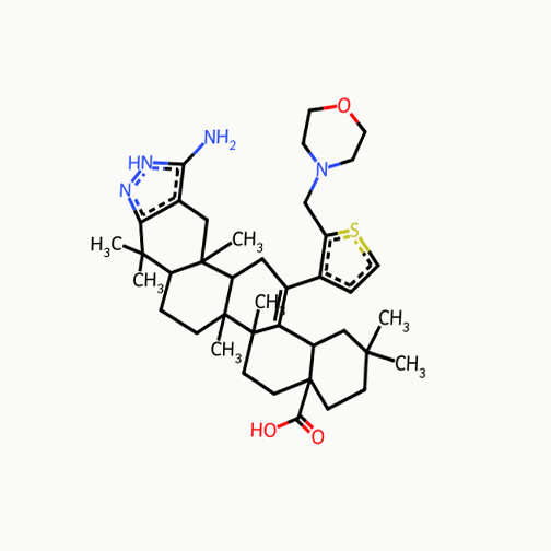 CC1(C)CCC2(C(=O)O)CCC3(C)C(=C(c4ccsc4CN4CCOCC4)CC4C5(C)Cc6c(n[nH]c6N)C(C)(C)C5CCC43C)C2C1